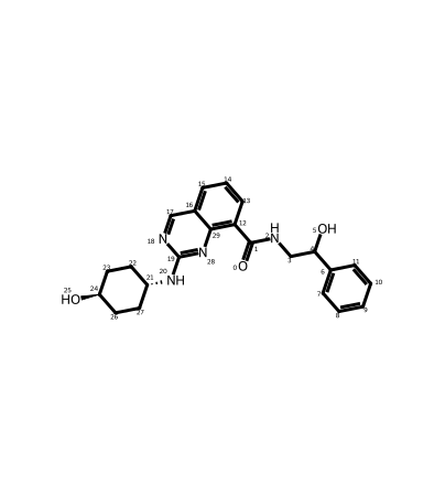 O=C(NCC(O)c1ccccc1)c1cccc2cnc(N[C@H]3CC[C@H](O)CC3)nc12